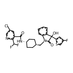 O=C(N[C@H]1CC[C@H](CN2C(=O)C(O)(c3cc(F)cs3)c3ccccc32)CC1)c1cc(Cl)cnc1C(F)F